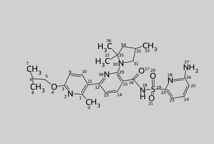 Cc1nc(OCC(C)C)ccc1-c1ccc(C(=O)NS(=O)(=O)c2cccc(N)n2)c(N2CC(C)CC2(C)C)n1